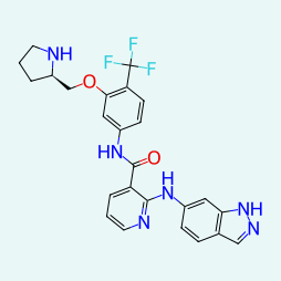 O=C(Nc1ccc(C(F)(F)F)c(OC[C@H]2CCCN2)c1)c1cccnc1Nc1ccc2cn[nH]c2c1